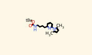 Cc1ccc(C)n1-c1cccc(CCCCNC(=O)OC(C)(C)C)n1